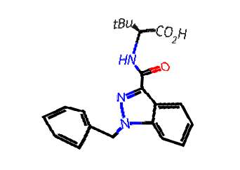 CC(C)(C)[C@H](NC(=O)c1nn(Cc2ccccc2)c2ccccc12)C(=O)O